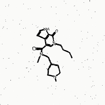 CCCCn1cc(C(=O)N(C)CC2CCN(C)CC2)c2cc[nH]c2c1=O